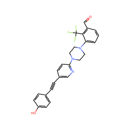 O=Cc1cccc(N2CCN(c3ccc(C#Cc4ccc(O)cc4)cn3)CC2)c1C(F)(F)F